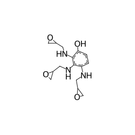 Oc1ccc(NCC2CO2)c(NCC2CO2)c1NCC1CO1